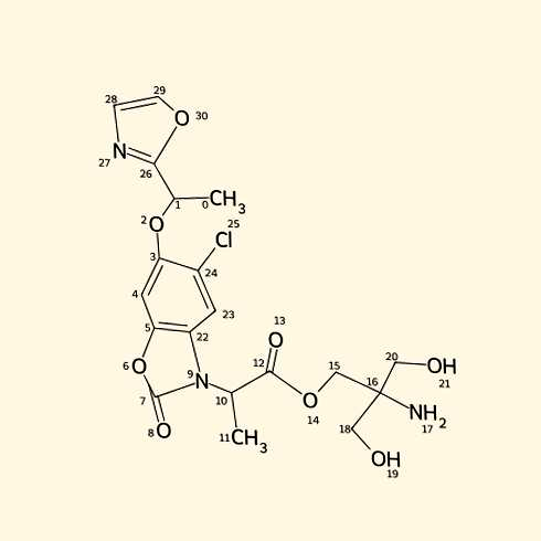 CC(Oc1cc2oc(=O)n(C(C)C(=O)OCC(N)(CO)CO)c2cc1Cl)c1ncco1